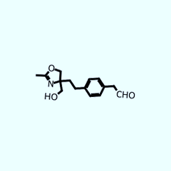 CC1=NC(CO)(CCc2ccc(CC=O)cc2)CO1